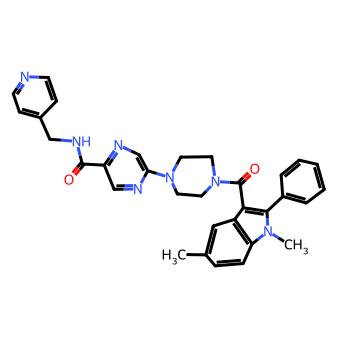 Cc1ccc2c(c1)c(C(=O)N1CCN(c3cnc(C(=O)NCc4ccncc4)cn3)CC1)c(-c1ccccc1)n2C